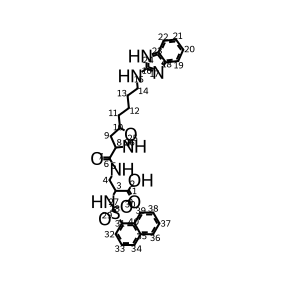 O=C(O)C(CNC(=O)C1CC(CCCCNc2nc3ccccc3[nH]2)ON1)NS(=O)(=O)c1cccc2ccccc12